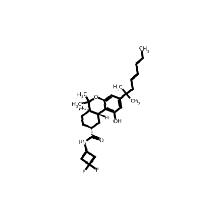 CCCCCCC(C)(C)c1cc(O)c2c(c1)OC(C)(C)[C@@H]1CC[C@@H](C(=O)NC3CC(F)(F)C3)C[C@@H]21